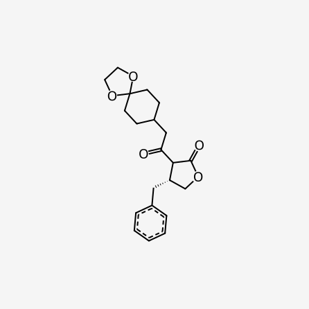 O=C(CC1CCC2(CC1)OCCO2)C1C(=O)OC[C@@H]1Cc1ccccc1